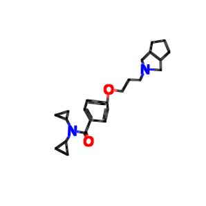 O=C(c1ccc(OCCCN2CC3CCCC3C2)cc1)N(C1CC1)C1CC1